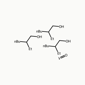 CCCCC(CC)CO.CCCCC(CC)CO.CCCCC(CC)CO.[O]=[V]